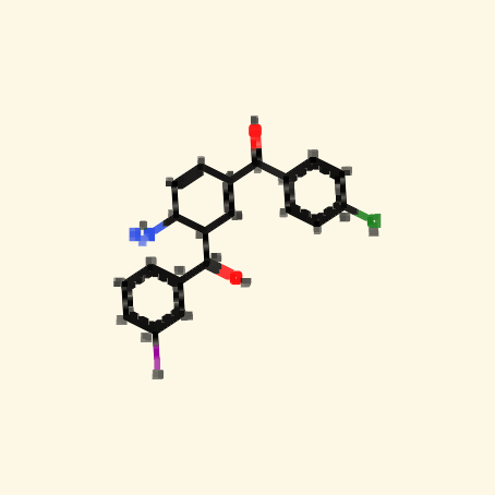 NC1C=CC(C(=O)c2ccc(Cl)cc2)=CC1C(=O)c1cccc(I)c1